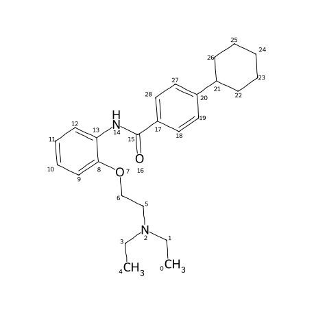 CCN(CC)CCOc1ccccc1NC(=O)c1ccc(C2CCCCC2)cc1